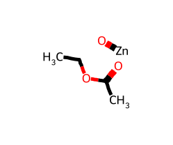 CCOC(C)=O.[O]=[Zn]